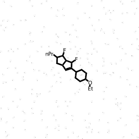 CCCC1CC2C=C(C3CCC(OCC)CC3)C(F)C2C1F